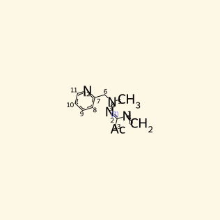 C=N/C(=N\N(C)Cc1ccccn1)C(C)=O